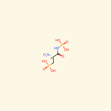 N[C@@H](CP(=O)(O)O)C(=O)NP(=O)(O)O